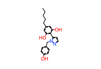 CCCCCc1cc(O)c(-c2ccnn2Cc2ccc(O)cc2)c(O)c1